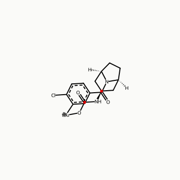 CC(C)(C)OC(=O)N[C@H]1C[C@H]2CC[C@@H](C1)N2C(=O)c1ccc(Cl)c(Br)c1